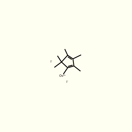 CC1=C(C)C(C)(C)[C]([Os+2])=C1C.[I-].[I-]